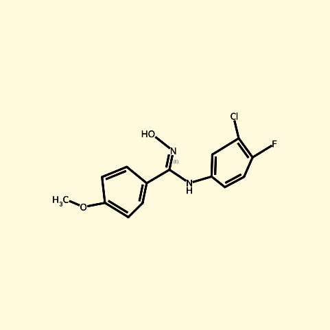 COc1ccc(/C(=N\O)Nc2ccc(F)c(Cl)c2)cc1